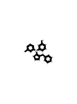 Cc1ccc[c]([Zr]([C]2=C(Cc3ccccc3)C=CC2)[c]2cccc(C)c2)c1